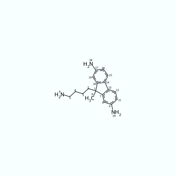 CC1(CCCCN)c2cc(N)ccc2-c2ccc(N)cc21